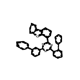 c1ccc(-c2cccc(-c3nc(-c4ccccc4-c4ccccc4)nc(-c4cccc5c4oc4ccccc45)n3)c2)cc1